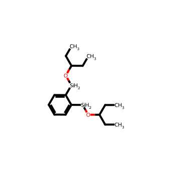 CCC(CC)O[SiH2]c1ccccc1[SiH2]OC(CC)CC